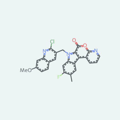 COc1ccc2cc(Cn3c4cc(F)c(C)cc4c4c5cccnc5oc(=O)c43)c(Cl)nc2c1